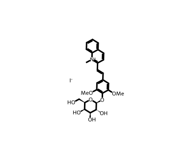 COc1cc(/C=C/c2ccc3ccccc3[n+]2C)cc(OC)c1O[C@@H]1O[C@H](CO)[C@H](O)[C@H](O)[C@H]1O.[I-]